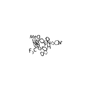 COc1cc(C(=O)NC2CC3(CCN(C)CC3)C2)c(F)cc1Nc1ncc(C(F)(F)F)c(Oc2cccc3c2C(=O)CC3)n1